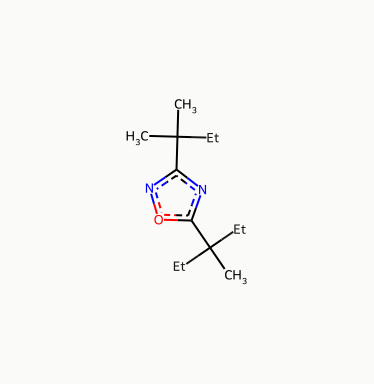 CCC(C)(C)c1noc(C(C)(CC)CC)n1